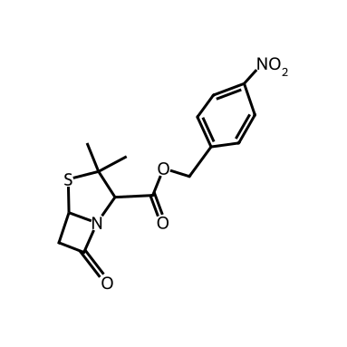 CC1(C)SC2CC(=O)N2C1C(=O)OCc1ccc([N+](=O)[O-])cc1